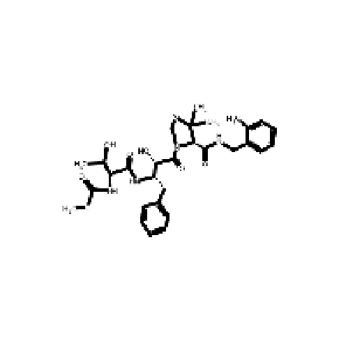 COC(=O)N[C@H](C(=O)N[C@@H](Cc1ccccc1)[C@H](O)C(=O)N1CSC(C)(C)[C@H]1C(=O)NCc1ccccc1C)C(C)O